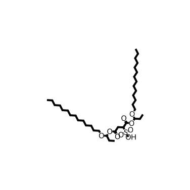 CCCCCCCCCCCCCCOC(CC)OC(=O)CC(C(=O)OC(CC)OCCCCCCCCCCCCCC)S(=O)(=O)O